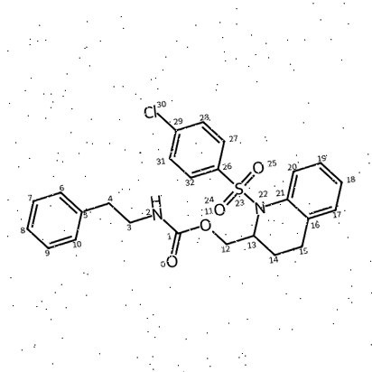 O=C(NCCc1ccccc1)OCC1CCc2ccccc2N1S(=O)(=O)c1ccc(Cl)cc1